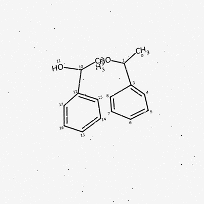 CC(O)c1ccccc1.CC(O)c1ccccc1